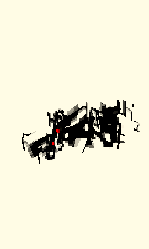 CC(F)CNC1C[C@H]2CC[C@H]1N2c1nc(OC[C@@]23CCCN2C[C@H](F)C3)nc2c(F)c(-c3ccc(F)c4sc(N)nc34)c(C(F)(F)F)cc12